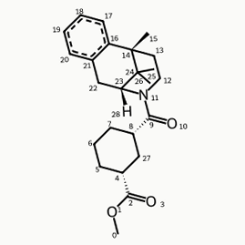 COC(=O)[C@@H]1CCC[C@H](C(=O)N2CC[C@@]3(C)c4ccccc4C[C@@H]2C3(C)C)C1